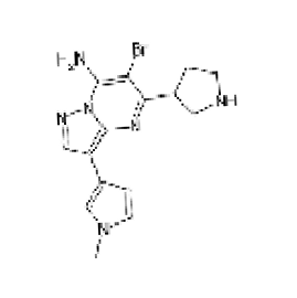 Cn1ccc(-c2cnn3c(N)c(Br)c(C4CCNC4)nc23)c1